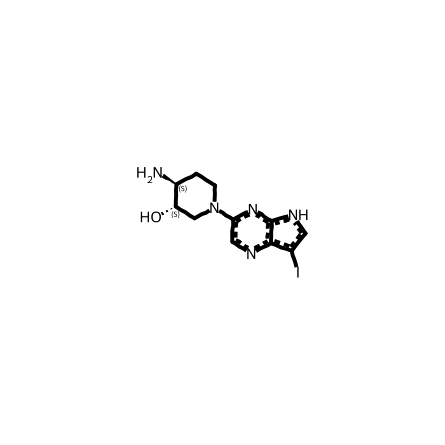 N[C@H]1CCN(c2cnc3c(I)c[nH]c3n2)C[C@@H]1O